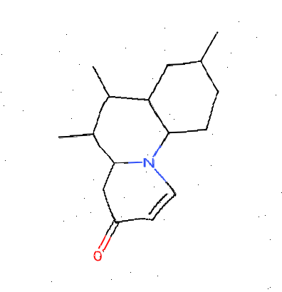 CC1CCC2C(C1)C(C)C(C)C1CC(=O)C=CN12